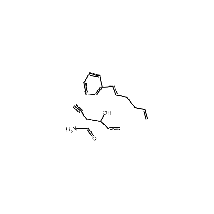 C#CCC(O)C=C.C=CCCC=Cc1ccccc1.NC=O